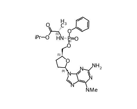 CNc1nc(N)nc2c1ncn2[C@H]1CC[C@@H](CO[P@@](=O)(N[C@@H](C)C(=O)OC(C)C)Oc2ccccc2)O1